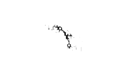 N#CCOC(=O)c1ccc(CNC(=O)CN(CC(=O)NCc2ccc(C(=O)O)c(O)c2)C(=O)CCN)cc1O